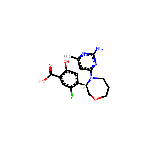 Cc1cc(N2CCCOC[C@H]2c2cc(O)c(C(=O)O)cc2Cl)nc(N)n1